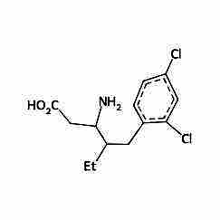 CCC(Cc1ccc(Cl)cc1Cl)C(N)CC(=O)O